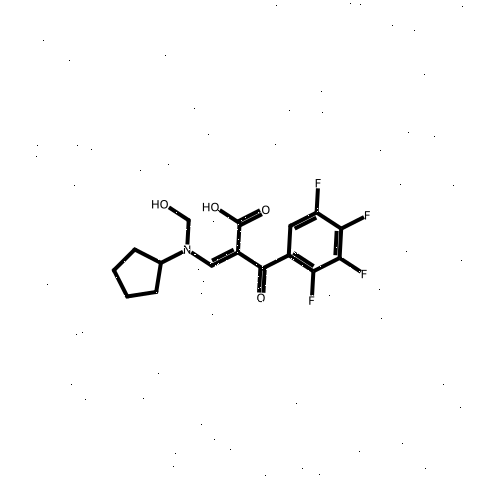 O=C(O)C(=CN(CO)C1CCCC1)C(=O)c1cc(F)c(F)c(F)c1F